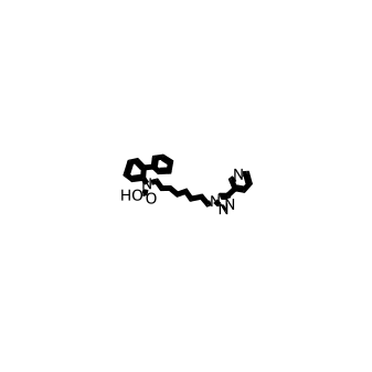 O=C(O)N(CCCCCCCCn1cc(-c2cccnc2)nn1)c1ccccc1-c1ccccc1